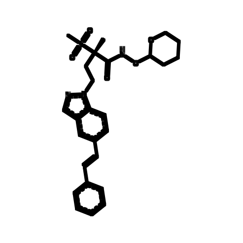 C[C@](CCn1ncc2cc(C=Cc3ccccc3)ccc21)(C(=O)NOC1CCCCO1)S(C)(=O)=O